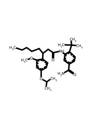 CCCCCC(CC(=O)Nc1cc(C(N)=O)ccc1C(C)(C)C)c1ccc(OC(C)C)cc1OC